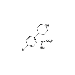 Brc1ccc(N2CCNCC2)nc1.CC(C)(C)OC(=O)O